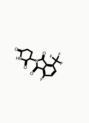 O=C1CCC(N2C(=O)c3c(F)ccc(C(F)(F)F)c3C2=O)C(=O)N1